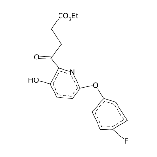 CCOC(=O)CCC(=O)c1nc(Oc2ccc(F)cc2)ccc1O